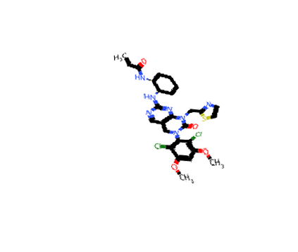 C=CC(=O)N[C@@H]1CCCC[C@@H]1Nc1ncc2c(n1)N(Cc1nccs1)C(=O)N(c1c(Cl)c(OC)cc(OC)c1Cl)C2